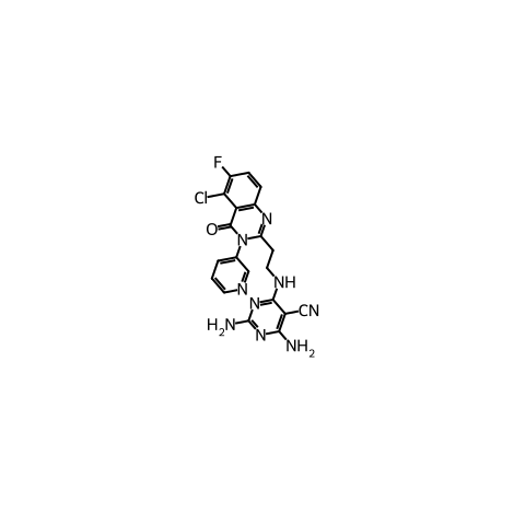 N#Cc1c(N)nc(N)nc1NCCc1nc2ccc(F)c(Cl)c2c(=O)n1-c1cccnc1